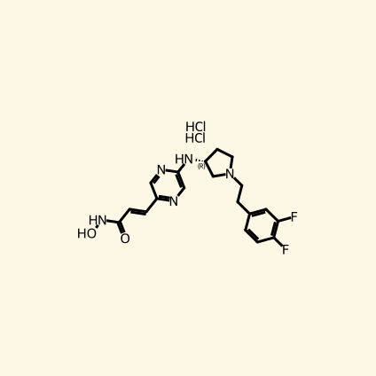 Cl.Cl.O=C(C=Cc1cnc(N[C@@H]2CCN(CCc3ccc(F)c(F)c3)C2)cn1)NO